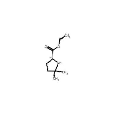 CCOC(=O)[C@@H]1CCC(C)(C)N1